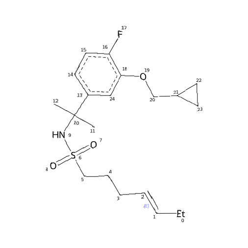 CC/C=C/CCCS(=O)(=O)NC(C)(C)c1ccc(F)c(OCC2CC2)c1